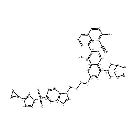 C#Cc1c(F)ccc2cccc(-c3ncc4c(N5CC6CCC(C5)N6)nc(OCCCn5cnc6cc(S(=O)(=O)n7cnc(C8CC8)n7)ccc65)nc4c3F)c12